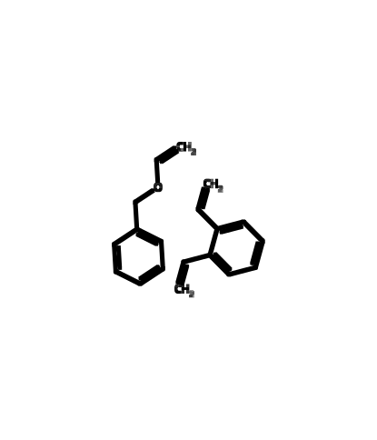 C=COCc1ccccc1.C=Cc1ccccc1C=C